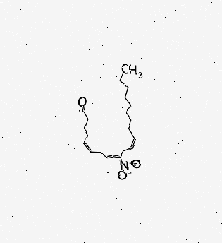 CCCCCCCC/C=C\C/C(=C\C/C=C\CCC[C]=O)[N+](=O)[O-]